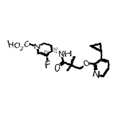 CC(C)(COc1ncccc1C1CC1)C(=O)N[C@H]1CCN(C(=O)O)C[C@@H]1F